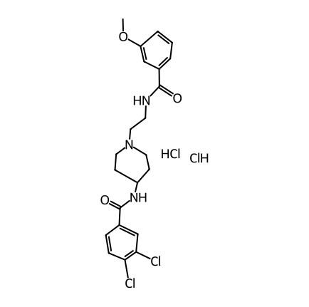 COc1cccc(C(=O)NCCN2CCC(NC(=O)c3ccc(Cl)c(Cl)c3)CC2)c1.Cl.Cl